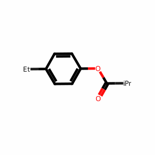 CCc1ccc(OC(=O)C(C)C)cc1